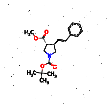 COC(=O)[C@H]1CN(C(=O)OC(C)(C)C)C[C@@H]1/C=C/c1ccccc1